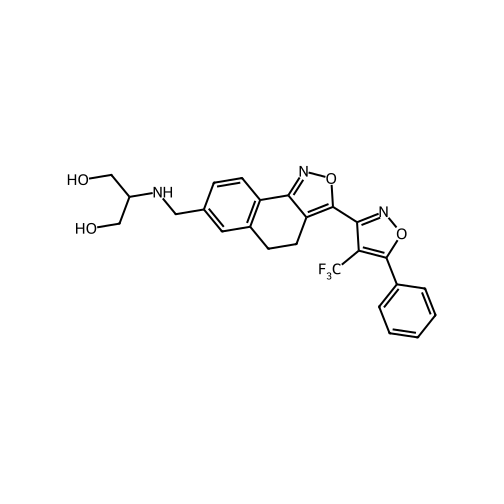 OCC(CO)NCc1ccc2c(c1)CCc1c-2noc1-c1noc(-c2ccccc2)c1C(F)(F)F